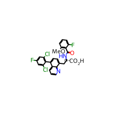 COc1cccc(F)c1C(=O)N[C@@H](Cc1ccc(-c2c(Cl)cc(F)cc2Cl)c2cccnc12)C(=O)O